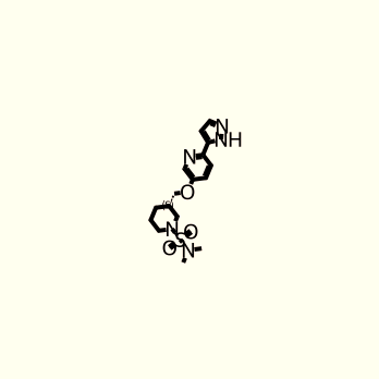 CN(C)S(=O)(=O)N1CCC[C@H](COc2ccc(-c3ccn[nH]3)nc2)C1